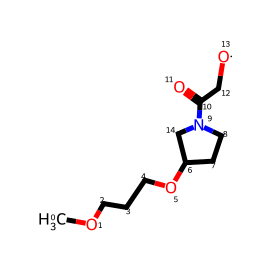 COCCCOC1CCN(C(=O)C[O])C1